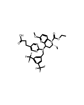 CCOC(=O)N1c2ccc(OC)nc2C(N(Cc2cc(C(F)(F)F)cc(C(F)(F)F)c2)c2ncc(CCC(=O)O)cn2)C[C@H]1CC